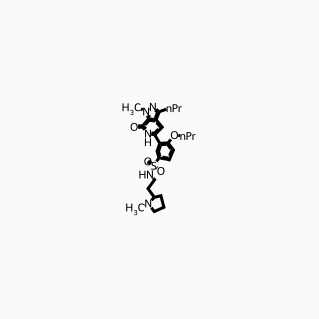 CCCOc1ccc(S(=O)(=O)NCCC2CCCN2C)cc1-c1cc2c(CCC)nn(C)c2c(=O)[nH]1